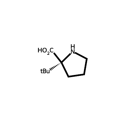 CC(C)(C)[C@@]1(C(=O)O)CCCN1